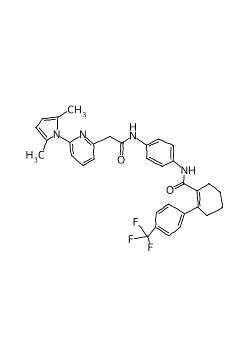 Cc1ccc(C)n1-c1cccc(CC(=O)Nc2ccc(NC(=O)C3=C(c4ccc(C(F)(F)F)cc4)CCCC3)cc2)n1